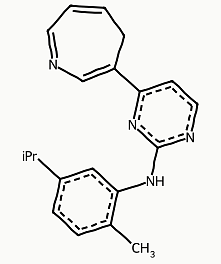 Cc1ccc(C(C)C)cc1Nc1nccc(C2=CN=CC=CC2)n1